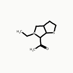 CCN1CC2CCSC2C1C(C)=O